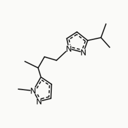 CC(C)c1ccn(CCC(C)c2ccnn2C)n1